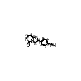 N#Cc1ccc(C2=Nc3ccnc(=O)n3C2)cc1